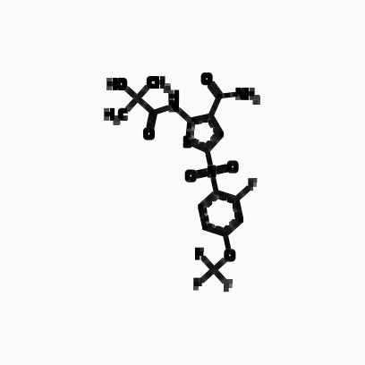 CC(C)(O)C(=O)Nc1sc(S(=O)(=O)c2ccc(OC(F)(F)F)cc2F)cc1C(N)=O